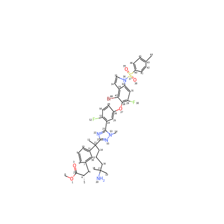 COC(=O)[C@@H](C)Cc1cccc(C(C)(CCCC(C)(C)N)c2nc(-c3cc(Oc4c(F)cc5c(ccn5S(=O)(=O)c5ccc(C)cc5)c4Br)ccc3F)n(C)n2)c1